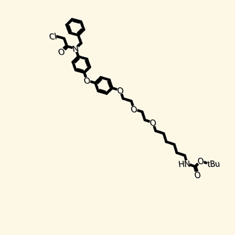 CC(C)(C)OC(=O)NCCCCCCOCCOCCOc1ccc(Oc2ccc(N(Cc3ccccc3)C(=O)CCl)cc2)cc1